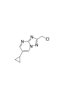 ClCc1nc2ncc(C3CC3)cn2n1